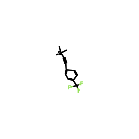 C[Si](C)(C)C#Cc1ccc(C(F)(F)F)cc1